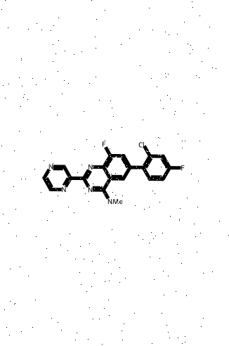 CNc1nc(-c2cnccn2)nc2c(F)cc(-c3ccc(F)cc3Cl)cc12